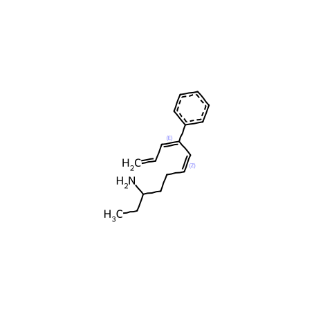 C=C/C=C(\C=C/CCC(N)CC)c1ccccc1